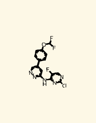 Fc1cnc(Cl)nc1Nc1cc(-c2ccc(OC(F)F)cc2)cnn1